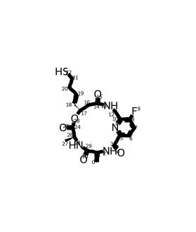 C=C1NC(=O)c2ccc(F)c(n2)CNC(=O)C[C@@H](/C=C/CCS)OC(=O)[C@H](C)NC1=O